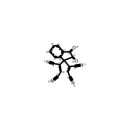 N#C/C=C(\C#N)C1(/C(C#N)=C/C#N)C(=O)C(=O)c2ccccc21